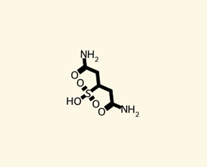 NC(=O)CC(CC(N)=O)S(=O)(=O)O